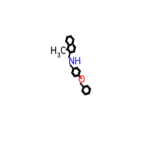 Cc1c(CNCc2ccc(OCc3ccccc3)cc2)ccc2ccccc12